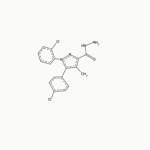 Cc1c(C(=O)NN)nn(-c2ccccc2Cl)c1-c1ccc(Cl)cc1